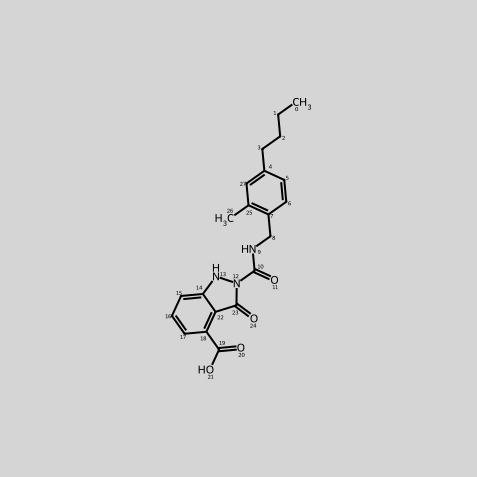 CCCCc1ccc(CNC(=O)n2[nH]c3cccc(C(=O)O)c3c2=O)c(C)c1